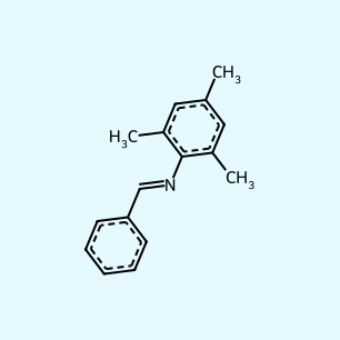 Cc1cc(C)c(N=Cc2ccccc2)c(C)c1